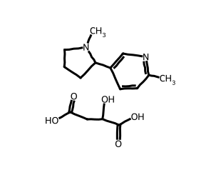 Cc1ccc(C2CCCN2C)cn1.O=C(O)CC(O)C(=O)O